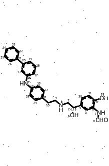 O=CNc1cc([C@H](O)CNCCc2ccc(Nc3cccc(-c4ccccc4)c3)cc2)ccc1O